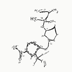 CC(C)[Si](C)(C)OC1CCCN(Cc2ccc([N+](=O)[O-])cc2C(F)(F)F)C1